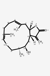 C=C1C(=O)O[C@H]2C/C(C)=C/CC/C(C)=C/CC[C@@H](C)[C@H](O)C[C@@H]12